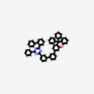 c1ccc(-c2nc(-c3cccc(-c4cccc(-c5ccc6c(c5)Oc5ccccc5C6(c5ccccc5)c5ccccc5)c4)c3)nc(-c3ccccc3-c3ccccc3)n2)cc1